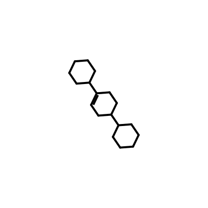 C1=C(C2CCCCC2)CCC(C2CCCCC2)C1